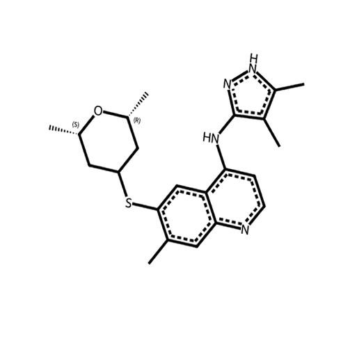 Cc1cc2nccc(Nc3n[nH]c(C)c3C)c2cc1SC1C[C@@H](C)O[C@@H](C)C1